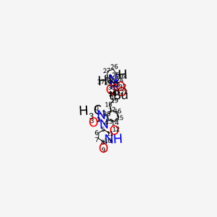 Cn1c(=O)n(C2CCC(=O)NC2=O)c2cccc(CCCC(=O)N3C[C@H]4CC[C@@H](C3)N4C(=O)OC(C)(C)C)c21